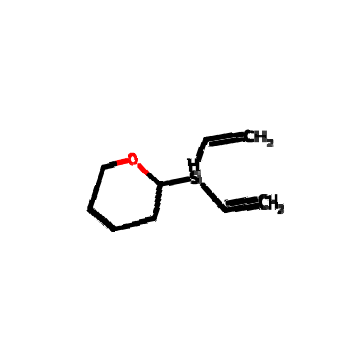 C=C[SiH](C=C)C1CCCCO1